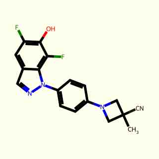 CC1(C#N)CN(c2ccc(-n3ncc4cc(F)c(O)c(F)c43)cc2)C1